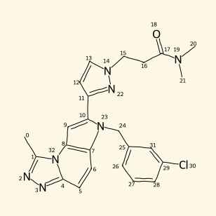 Cc1nnc2ccc3c(cc(-c4ccn(CCC(=O)N(C)C)n4)n3Cc3cccc(Cl)c3)n12